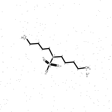 CCCCCN(CCCCC)S(=O)(=O)[O-].[Li+]